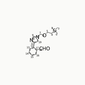 C[Si](C)(C)CCOCn1cnc(-c2ccccc2C=O)c1